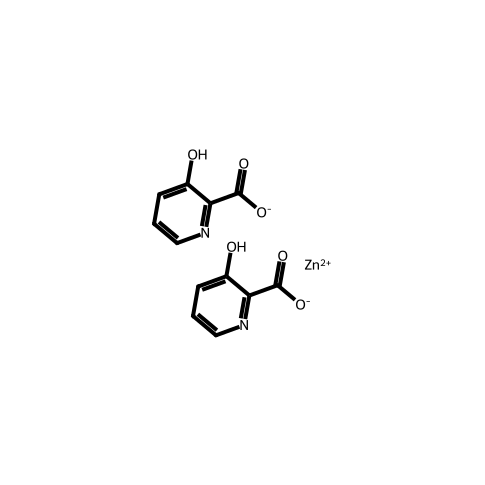 O=C([O-])c1ncccc1O.O=C([O-])c1ncccc1O.[Zn+2]